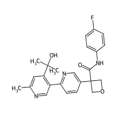 Cc1cc(C(C)(C)O)c(-c2ccc(C3(C(=O)Nc4ccc(F)cc4)COC3)cn2)cn1